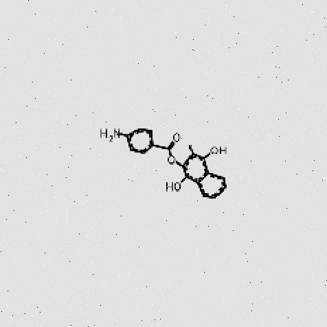 Cc1c(OC(=O)c2ccc(N)cc2)c(O)c2ccccc2c1O